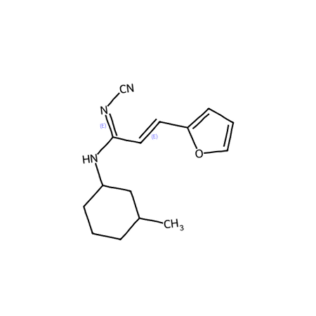 CC1CCCC(NC(/C=C/c2ccco2)=N/C#N)C1